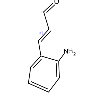 Nc1ccccc1/C=C/[C]=O